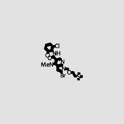 CNc1c(C(=O)Nc2c(Cl)cccc2Cl)cnc2c1cc(Br)n2COCC[Si](C)(C)C